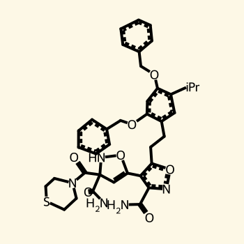 CC(C)c1cc(CCc2onc(C(N)=O)c2C2=CC(C(N)=O)(C(=O)N3CCSCC3)NO2)c(OCc2ccccc2)cc1OCc1ccccc1